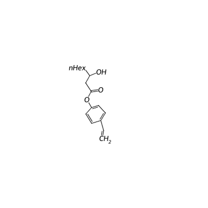 C=Cc1ccc(OC(=O)CC(O)CCCCCC)cc1